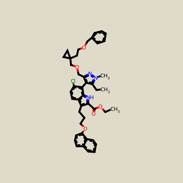 CCOC(=O)c1[nH]c2c(-c3c(COCC4(CCOCc5ccccc5)CC4)nn(C)c3CC)c(Cl)ccc2c1CCCOc1cccc2ccccc12